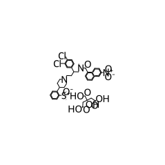 CN(CC(CCN1CCC(c2ccccc2[S@+](C)[O-])CC1)c1ccc(Cl)c(Cl)c1)C(=O)c1cccc2cc([N+](=O)[O-])ccc12.O=C(O)CC(O)(CC(=O)O)C(=O)O